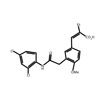 CCC(=Cc1ccc(OC)c(CC(=O)Nc2ccc(Cl)cc2Cl)c1)C(=O)O